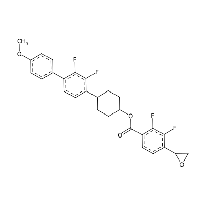 COc1ccc(-c2ccc(C3CCC(OC(=O)c4ccc(C5CO5)c(F)c4F)CC3)c(F)c2F)cc1